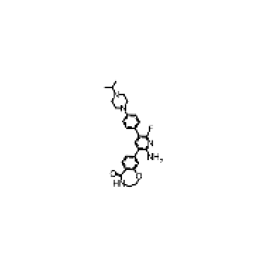 CC(C)N1CCN(c2ccc(-c3cc(-c4ccc5c(c4)OCCNC5=O)c(N)nc3F)cc2)CC1